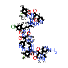 CC[C@@H](NC(=O)N1C(=O)[C@H](Cc2ccnc(N)c2)[C@H]1C(=O)N(C)c1ncc(CC[C@@H](NC(=O)N2C(=O)[C@H](Cc3ccnc(N)c3)[C@H]2C(=O)N(C)c2ncc(CC[C@@H](NC(=O)N3C(=O)[C@H](Cc4ccnc(N)c4)[C@H]3C(=O)N(C)c3nccn3C)c3ccc(F)c(C)c3)n2C)c2ccc(Cl)cc2C)n1C)c1ccc(C)cc1F